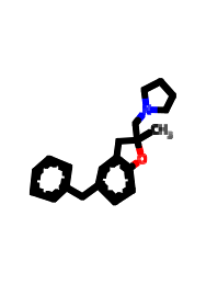 CC1(CN2CCCC2)Cc2cc(Cc3ccccc3)ccc2O1